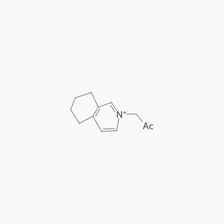 CC(=O)C[n+]1ccc2c(c1)CCCC2